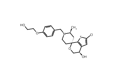 C[C@H]1C[C@@]2(CCN1Cc1ccc(OCCO)cc1)OC[C@H](O)c1cc(Cl)sc12